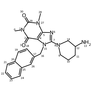 Cn1c(=O)c2c(nc(N3CCCC(N)C3)n2Cc2ccc3ccccc3c2)n(C)c1=O